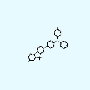 Cc1ccc(N(c2ccccc2)c2ccc(-c3ccc4c(c3)C(C)(C)c3cc(C)ccc3-4)cc2)cc1